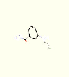 NC(=O)c1cccc(NCCCCl)c1